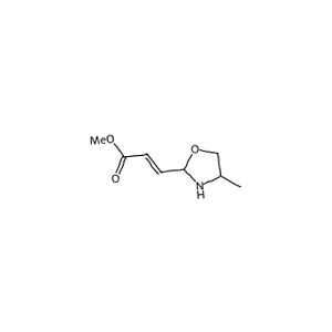 COC(=O)C=CC1NC(C)CO1